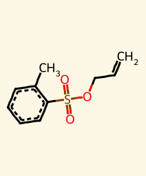 C=CCOS(=O)(=O)c1ccccc1C